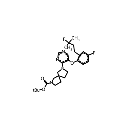 CC(C)(F)CCc1cc(F)ccc1Oc1cncnc1N1CCC2(CCN(C(=O)OC(C)(C)C)C2)C1